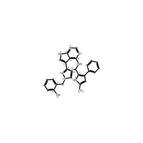 Cc1cc(-c2ccccc2)c(C(C)Nc2ncnc3[nH]cc(-c4ccn(Cc5ccccc5O)n4)c23)[nH]1